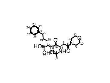 CC(=O)N[C@H](CC(=O)N1CCOCC1)C(=O)N[C@@H](CCCc1ccccc1)B(O)O